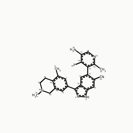 Cc1cc(-c2n[nH]c3cc(C#N)c(-c4c(C)ncc(N)c4F)cc23)cc2c1CCN(C)C2